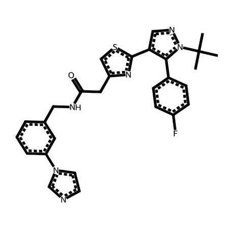 CC(C)(C)n1ncc(-c2nc(CC(=O)NCc3cccc(-n4ccnc4)c3)cs2)c1-c1ccc(F)cc1